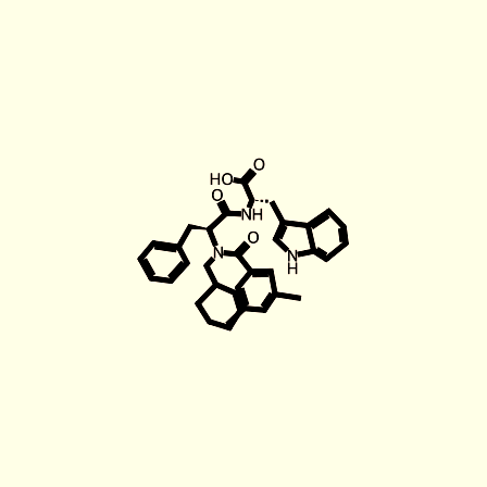 Cc1cc(C)cc(C(=O)N(CC2CCCCC2)[C@@H](Cc2ccccc2)C(=O)N[C@@H](Cc2c[nH]c3ccccc23)C(=O)O)c1